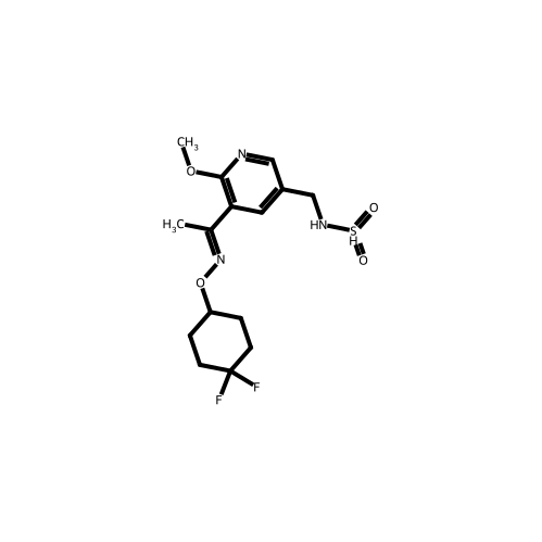 COc1ncc(CN[SH](=O)=O)cc1C(C)=NOC1CCC(F)(F)CC1